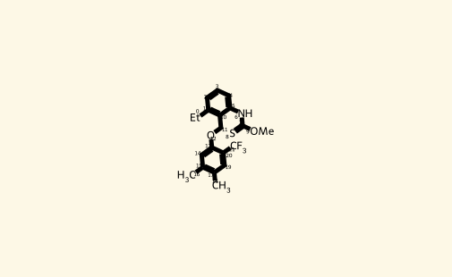 CCc1cccc(NC(=S)OC)c1COc1cc(C)c(C)cc1C(F)(F)F